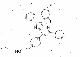 OCCN1CCN(c2cc(-c3ccccc3)nc3c(-c4ccc(F)cc4F)c(-c4ccccc4)nn23)CC1